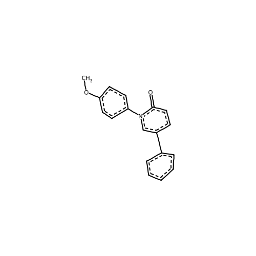 COc1ccc(-n2cc(-c3ccccc3)ccc2=O)cc1